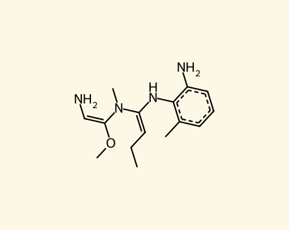 CC/C=C(/Nc1c(C)cccc1N)N(C)/C(=C\N)OC